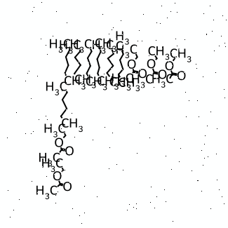 CCCCCC.CCCCCC.CCCCCC.CCCCCC.CCCCCC.CCCCCC.CCCCCC.CCOC(C)=O.CCOC(C)=O.CCOC(C)=O.CCOC(C)=O.CCOC(C)=O